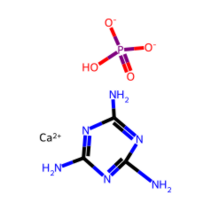 Nc1nc(N)nc(N)n1.O=P([O-])([O-])O.[Ca+2]